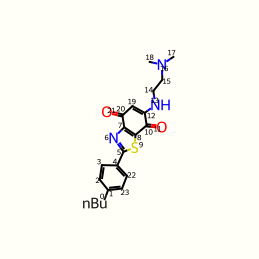 CCCCc1ccc(-c2nc3c(s2)C(=O)C(NCCN(C)C)=CC3=O)cc1